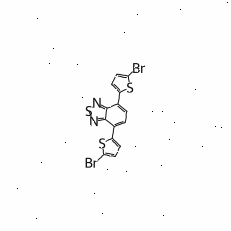 Brc1ccc(-c2ccc(-c3ccc(Br)s3)c3nsnc23)s1